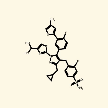 Cc1csc(-c2cc(-c3c(Cc4ccc(S(N)(=O)=O)cc4F)c(CC4CC4)nn3-c3nc(C(O)O)cs3)ccc2F)c1